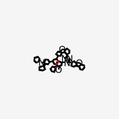 c1ccc(-n2c3ccccc3c3cc(-c4cccc(-c5ccc6oc7cccc(-c8nc(-c9ccc%10c(c9)oc9ccccc9%10)nc(-c9ccc%10c(c9)oc9ccccc9%10)n8)c7c6c5)c4)ccc32)cc1